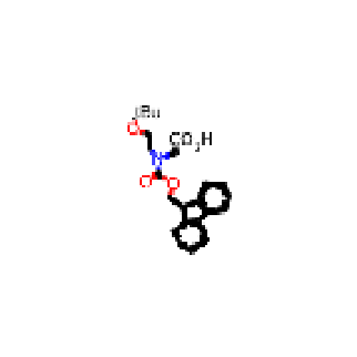 CC(C)(C)OCCN(CC(=O)O)C(=O)OCC1c2ccccc2-c2ccccc21